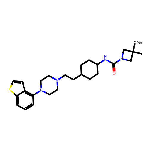 COC1(C)CN(C(=O)NC2CCC(CCN3CCN(c4cccc5sccc45)CC3)CC2)C1